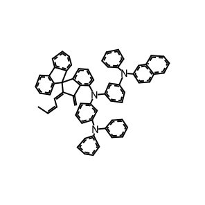 C=C1/C(=C\C=C/C)C2(c3ccccc3-c3ccccc32)c2cccc(N(c3cccc(N(c4ccccc4)c4ccccc4)c3)c3cccc(N(c4ccccc4)c4ccc5ccccc5c4)c3)c21